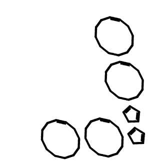 C1=CCC=C1.C1=CCC=C1.C1=CCCCCCCCCCC1.C1=CCCCCCCCCCC1.C1=CCCCCCCCCCC1.C1=CCCCCCCCCCC1